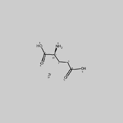 N[C@@H](CCC(=O)O)C(=O)O.[Zr]